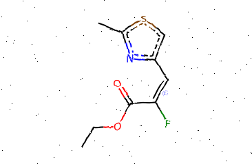 CCOC(=O)/C(F)=C\c1csc(C)n1